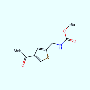 CNC(=O)c1csc(CNC(=O)OC(C)(C)C)c1